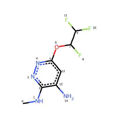 CNc1nnc(OC(F)C(F)F)cc1N